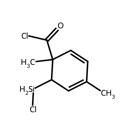 CC1=CC([SiH2]Cl)C(C)(C(=O)Cl)C=C1